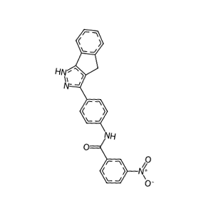 O=C(Nc1ccc(-c2n[nH]c3c2Cc2ccccc2-3)cc1)c1cccc([N+](=O)[O-])c1